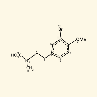 COc1cnc(CCN(C)C(=O)O)cc1Br